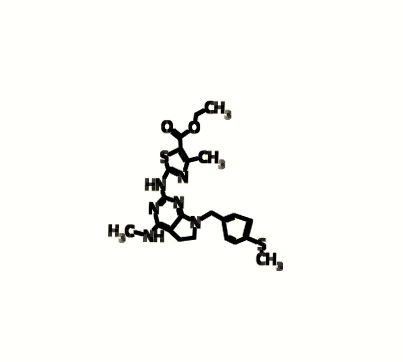 CCOC(=O)c1sc(Nc2nc(NC)c3c(n2)N(Cc2ccc(SC)cc2)CC3)nc1C